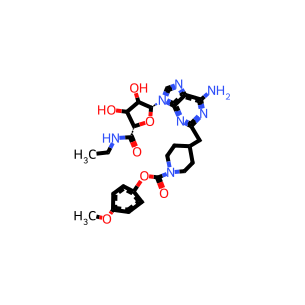 CCNC(=O)[C@H]1O[C@@H](n2cnc3c(N)nc(CC4CCN(C(=O)Oc5ccc(OC)cc5)CC4)nc32)C(O)C1O